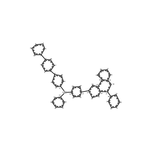 c1ccc(-c2ccc(-c3ccc(N(c4ccccc4)c4ccc(-c5ccc6c(-c7ccccc7)cc7ccccc7c6c5)cc4)cc3)cc2)cc1